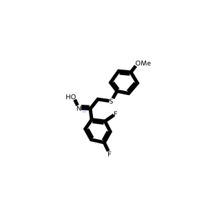 COc1ccc(SC/C(=N\O)c2ccc(F)cc2F)cc1